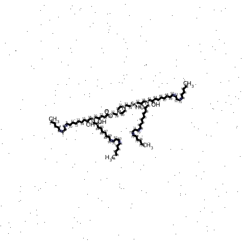 CCCCC/C=C\C/C=C\CCCCCCC(O)CN(CCCCC(=O)OCCN1CCN(CCSSCCCN(CC(O)CCCCCC/C=C\C/C=C\CCCCC)CC(O)CCCCCC/C=C\C/C=C\CCCCC)CC1)CC(O)CCCCCC/C=C\C/C=C\CCCCC